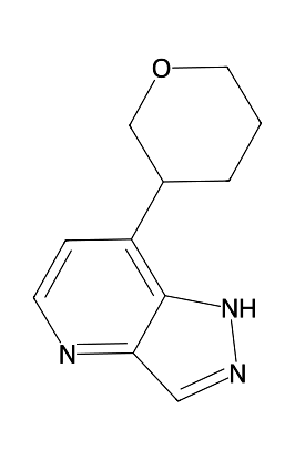 c1cc(C2CCCOC2)c2[nH]ncc2n1